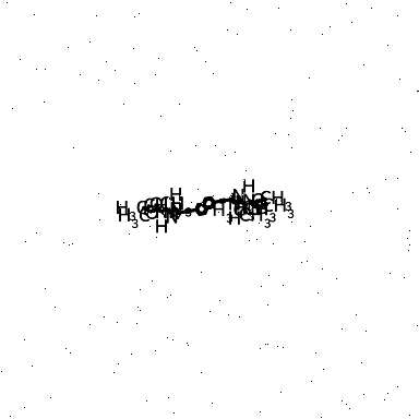 C[C@H](NC(=O)OC(C)(C)C)c1ncc(C#Cc2ccc3cc(C#Cc4cnc([C@@H](NC(=O)OC(C)(C)C)C(C)(C)C)[nH]4)ccc3c2)[nH]1